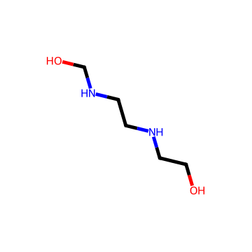 OCCNCCNCO